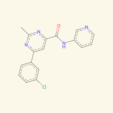 Cc1nc(C(=O)Nc2cccnc2)cc(-c2cccc(Cl)c2)n1